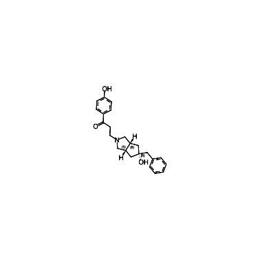 O=C(CCN1C[C@@H]2C[C@@](O)(Cc3ccccc3)C[C@@H]2C1)c1ccc(O)cc1